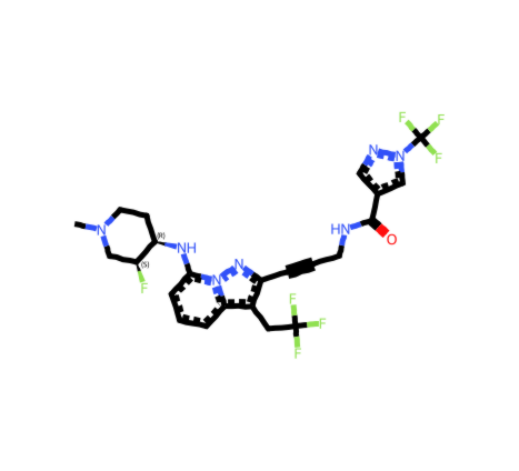 CN1CC[C@@H](Nc2cccc3c(CC(F)(F)F)c(C#CCNC(=O)c4cnn(C(F)(F)F)c4)nn23)[C@@H](F)C1